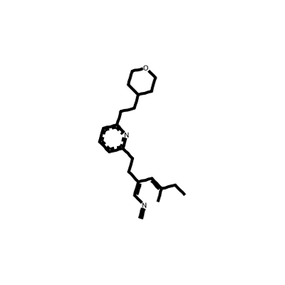 C=N/C=C(\C=C(/C)CC)CCc1cccc(CCC2CCOCC2)n1